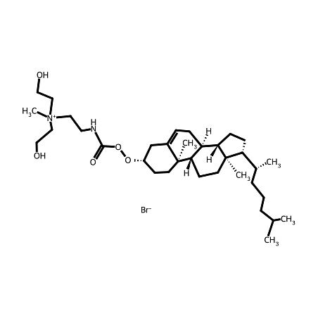 CC(C)CCC[C@@H](C)[C@H]1CC[C@H]2[C@@H]3CC=C4C[C@@H](OOC(=O)NCC[N+](C)(CCO)CCO)CC[C@]4(C)[C@H]3CC[C@]12C.[Br-]